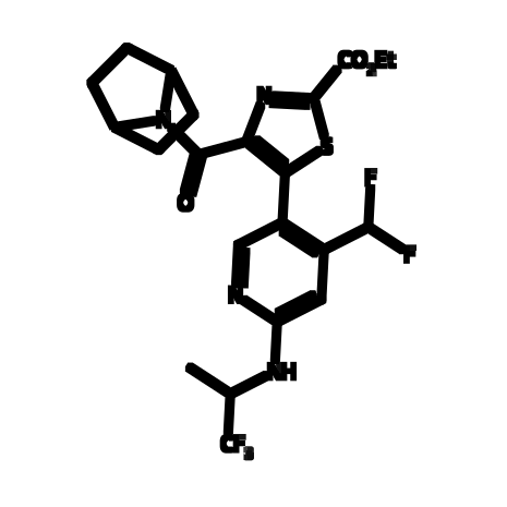 CCOC(=O)c1nc(C(=O)N2C3CCC2CC3)c(-c2cnc(NC(C)C(F)(F)F)cc2C(F)F)s1